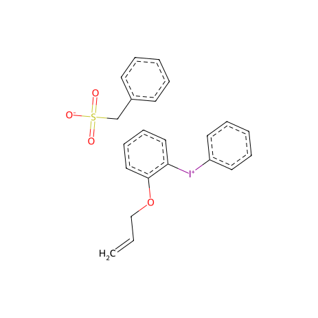 C=CCOc1ccccc1[I+]c1ccccc1.O=S(=O)([O-])Cc1ccccc1